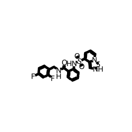 O=C(NCc1ccc(F)cc1F)c1ccccc1NS(=O)(=O)C1=CC=CN2SNC=C12